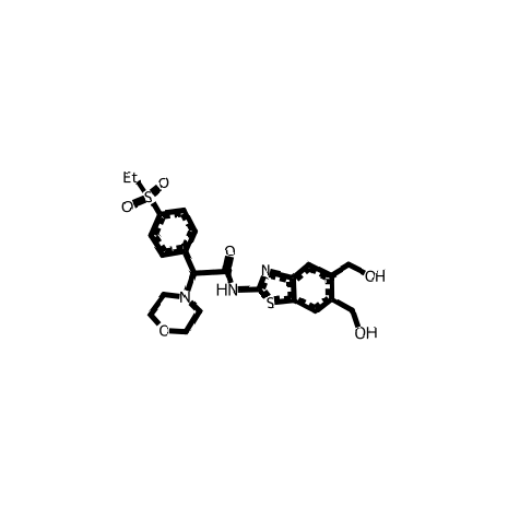 CCS(=O)(=O)c1ccc(C(C(=O)Nc2nc3cc(CO)c(CO)cc3s2)N2CCOCC2)cc1